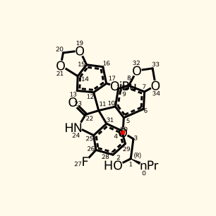 CCC[C@@H](O)COc1cc2c(cc1C1(c3cc4c(cc3OCC(C)C)OCO4)C(=O)Nc3c(F)cccc31)OCO2